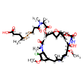 COc1cc2cc(c1Cl)N(C)C(=O)CC(OC(=O)C(C)N(C)C(=O)CCSSC(C)CCC(=O)O)C1(C)CC(C)(O1)C1CC(O)(NC(=O)O1)C(OC)/C=C/C=C(\C)C2